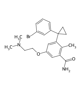 Cc1c(C(N)=O)cc(OCCN(C)C)cc1C1(c2cccc(Br)c2)CC1